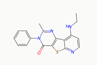 CCNc1ccnc2sc3c(=O)n(-c4ccccc4)c(C)nc3c12